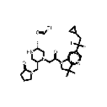 C[C@@H]1CN(CC(=O)N2CC(C)(C)c3ncc(C(F)(F)CC4CC4)cc32)[C@@H](CN2CCCC2=O)CN1.O=CO